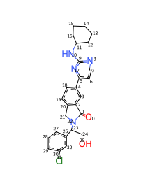 O=C1c2cc(-c3ccnc(NC4CCCCC4)n3)ccc2CN1C(CO)c1cccc(Cl)c1